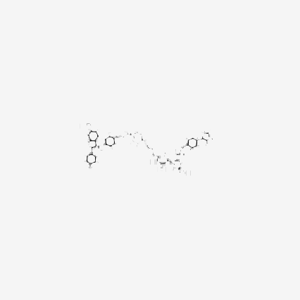 Cc1ncsc1-c1ccc(CNC(=O)[C@@H]2C[C@@H](O)CN2C(=O)[C@@H](NC(=O)CCCOC2CCN(CCOc3ccc(Oc4c(-c5ccc(F)cc5)sc5cc(O)ccc45)cc3)CC2)C(C)(C)C)cc1